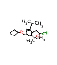 CC(C)c1cc(COC2CCCC2)cc(C(C)C)c1CC(=O)Cl